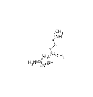 CNCCCN(C)c1nc(N)n[nH]1